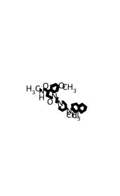 CNC(=O)c1cc(=O)n(CCN2CCC(N(C)C3=C(Cl)c4ccccc4CC3)CC2)c2cc(OC)ccc12